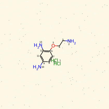 Cl.Cl.NCCOc1ccc(N)cc1N